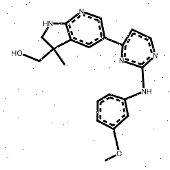 COc1cccc(Nc2nccc(-c3cnc4c(c3)C(C)(CO)CN4)n2)c1